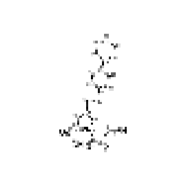 C[C@H](CS)C(=O)N1CC(SCc2ccc(C3CCCCC3)cc2)C[C@H]1C(=O)O